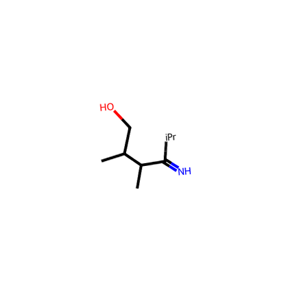 CC(C)C(=N)C(C)C(C)CO